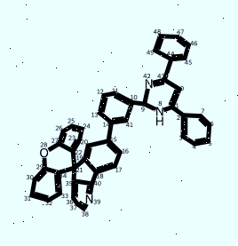 C1=C(c2ccccc2)NC(c2cccc(-c3ccc4c(c3)C3(c5ccccc5Oc5ccccc53)c3cccnc3-4)c2)N=C1c1ccccc1